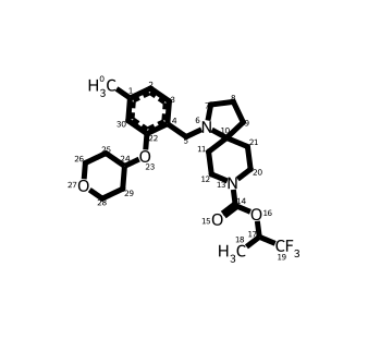 Cc1ccc(CN2CCCC23CCN(C(=O)OC(C)C(F)(F)F)CC3)c(OC2CCOCC2)c1